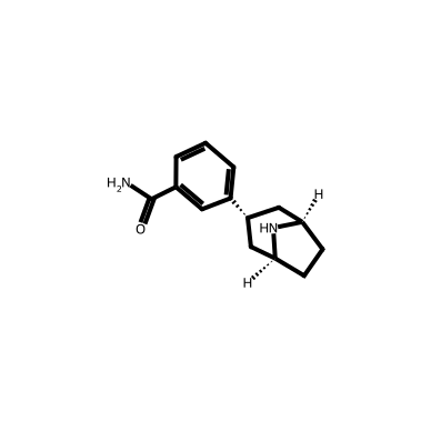 NC(=O)c1cccc([C@@H]2C[C@H]3CC[C@@H](C2)N3)c1